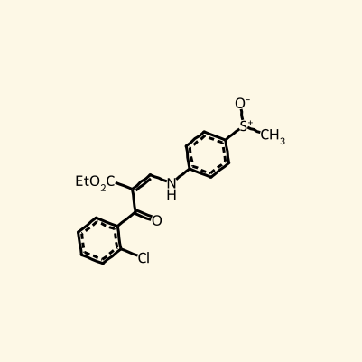 CCOC(=O)C(=CNc1ccc([S+](C)[O-])cc1)C(=O)c1ccccc1Cl